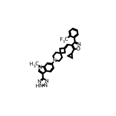 Cn1cc(-c2nn[nH]n2)c2ccc(N3CCC4(CC3)CC(=Cc3c(-c5ccccc5C(F)(F)F)noc3C3CC3)C4)cc21